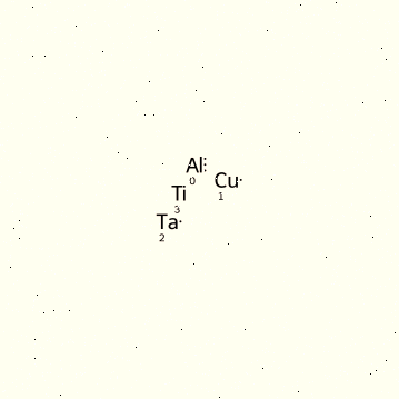 [Al].[Cu].[Ta].[Ti]